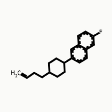 C=CCCC1CCC(c2ccc3cc(F)ccc3c2)CC1